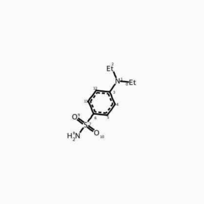 CCN(CC)c1ccc(S(N)(=O)=O)cc1